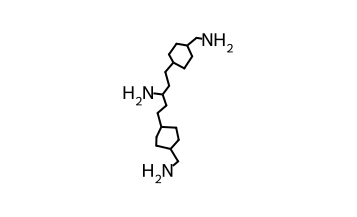 NCC1CCC(CCC(N)CCC2CCC(CN)CC2)CC1